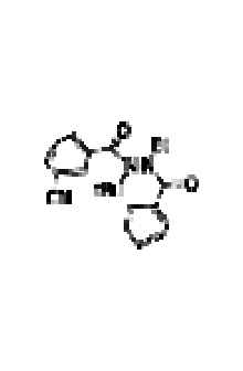 CCN(C(=O)c1ccccc1)N(C(=O)c1cccc(C#N)c1)C(C)(C)C